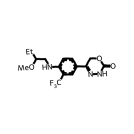 CCC(CNc1ccc(C2=NNC(=O)OC2)cc1C(F)(F)F)OC